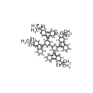 CCC(C)(C)c1ccc2c(c1)c1ccccc1n2-c1cc(-c2cc(-n3c4ccccc4c4cc(C(C)(C)CC)ccc43)cc(-n3c4ccccc4c4cc(C(C)(C)CC)ccc43)c2)cc(-n2c3ccccc3c3cc(C(C)(C)CC)ccc32)c1